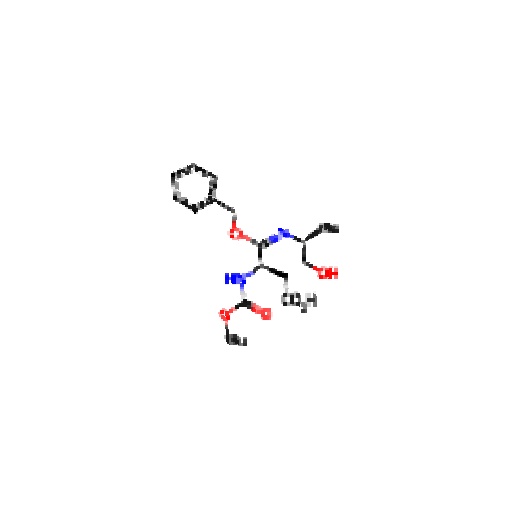 CC(C)(C)OC(=O)N[C@H](CC(=O)O)C(=N[C@H](CO)C(C)(C)C)OCc1ccccc1